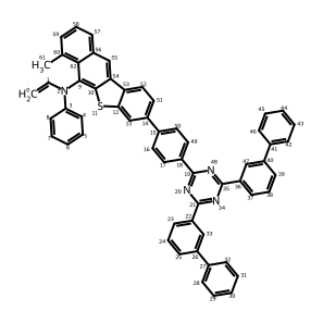 C=CN(c1ccccc1)c1c2sc3cc(-c4ccc(-c5nc(-c6cccc(-c7ccccc7)c6)nc(-c6cccc(-c7ccccc7)c6)n5)cc4)ccc3c2cc2cccc(C)c12